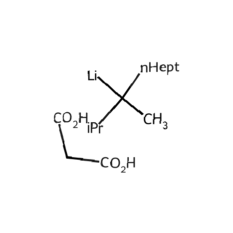 O=C(O)CC(=O)O.[Li][C](C)(CCCCCCC)C(C)C